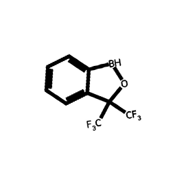 FC(F)(F)C1(C(F)(F)F)OBc2ccccc21